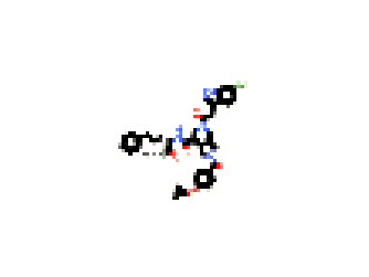 CNC(=O)[C@H](CCCc1ccccc1)NC(=O)C1CN(C(=O)Cc2c[nH]c3cc(Cl)ccc23)CC2CN(C(=O)c3ccc(OC4CC4)cc3)CC21